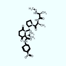 CON[C@@H](C)C(=O)N[C@@H](C)C(=O)N1CCC[C@H]1C(=O)N1C(=O)CCC(=O)[C@@]1(C(=O)Nc1ccc([N+](=O)[O-])cc1)C(C)C